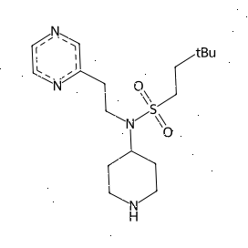 CC(C)(C)CCS(=O)(=O)N(CCc1cnccn1)C1CCNCC1